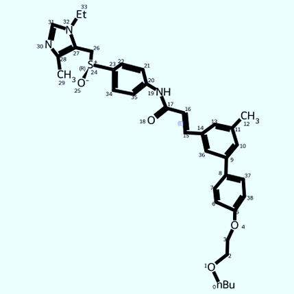 CCCCOCCOc1ccc(-c2cc(C)cc(/C=C/C(=O)Nc3ccc([S@@+]([O-])Cc4c(C)ncn4CC)cc3)c2)cc1